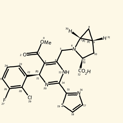 COC(=O)C1=C(CN2[C@@H]3C[C@@H]3C[C@H]2C(=O)O)NC(c2nccs2)=N[C@H]1c1cccc(F)c1Cl